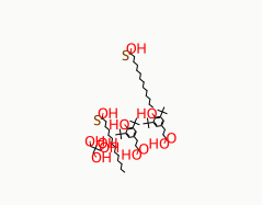 CC(C)(C)c1cc(CCC(=O)O)cc(C(C)(C)C)c1O.CC(C)(C)c1cc(CCC(=O)O)cc(C(C)(C)C)c1O.CCCCCCCCCCCCCC(O)=S.CCCCCCCCCCCCCC(O)=S.OCC(CO)(CO)CO